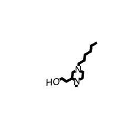 CCCCCCN1CCN(C)C(CCO)C1